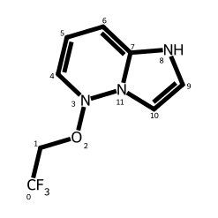 FC(F)(F)CON1C=CC=C2NC=CN21